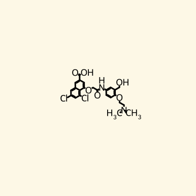 CN(C)CCOc1ccc(NC(=O)COc2cc(C(=O)O)cc3cc(Cl)cc(Cl)c23)cc1CO